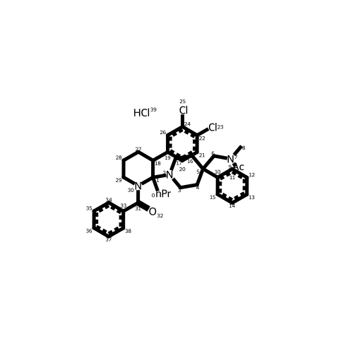 CCCC1(N2CCC(CN(C)C(C)=O)(c3ccccc3)CC2)C(c2ccc(Cl)c(Cl)c2)CCCN1C(=O)c1ccccc1.Cl